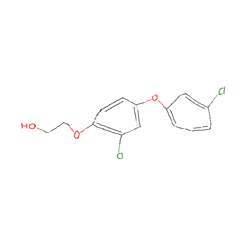 OCCOc1ccc(Oc2cccc(Cl)c2)cc1Cl